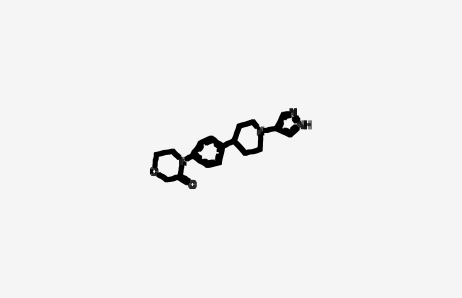 O=C1COCCN1c1ccc(C2CCN(c3cn[nH]c3)CC2)cc1